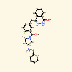 CN(Cc1ccccn1)[C@@H]1CCN(C(=O)c2cc(Cc3n[nH]c(=O)c4ccccc34)ccc2F)C1